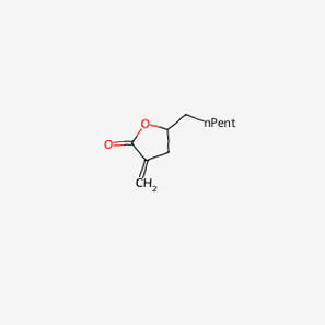 C=C1CC(CCCCCC)OC1=O